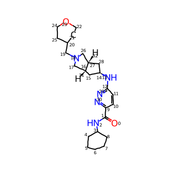 O=C(NC1CCCCC1)c1ccc(N[C@H]2C[C@@H]3CN(CC4CCOCC4)C[C@@H]3C2)nn1